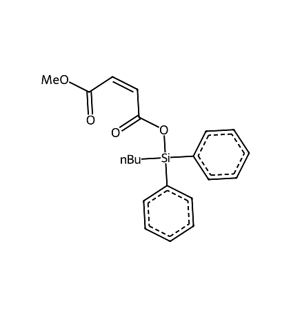 CCCC[Si](OC(=O)/C=C\C(=O)OC)(c1ccccc1)c1ccccc1